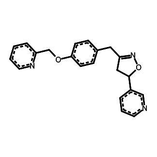 c1ccc(COc2ccc(CC3=NOC(c4cccnc4)C3)cc2)nc1